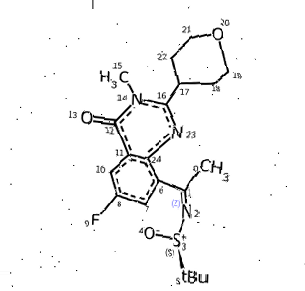 C/C(=N/[S@+]([O-])C(C)(C)C)c1cc(F)cc2c(=O)n(C)c(C3CCOCC3)nc12